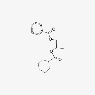 CC(COC(=O)c1ccccc1)OC(=O)C1CCCCC1